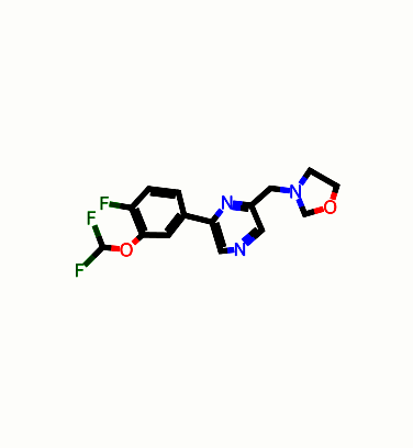 Fc1ccc(-c2cncc(CN3CCOC3)n2)cc1OC(F)F